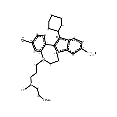 CCN(CCCN1CCn2c(c(C3CCCCC3)c3ccc(C(=O)O)cc32)-c2ccc(Cl)cc21)CCOC